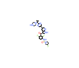 O=C(c1c(F)ccc(N[S+]([O-])N2CCC(F)C2)c1F)c1c[nH]c2ncc(-c3cnc(C4(N5CCNCC5)CC4)nc3)cc12